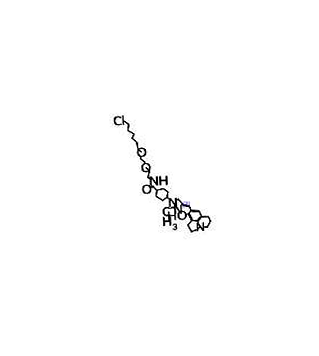 CC1=N/C(=C\c2cc3c4c(c2O)CCCN4CCC3)CN1C1CCC(C(=O)NCCOCCOCCCCCCCl)CC1